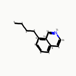 CCCCc1cccc2ccncc12